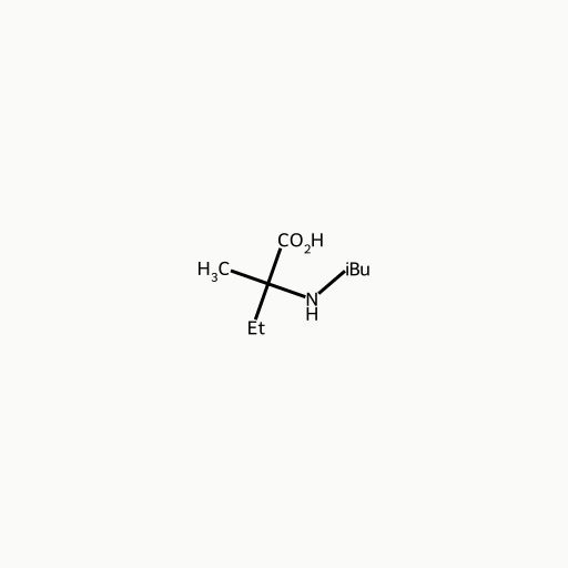 CCC(C)NC(C)(CC)C(=O)O